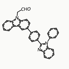 O=CCn1c2ccccc2c2cc(-c3ccc(-c4nc5ccccc5n4-c4ccccc4)cc3)ccc21